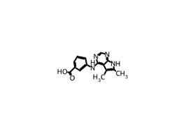 Cc1[nH]c2ncnc(Nc3cccc(C(=O)O)c3)c2c1C